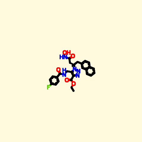 CCOC(=O)c1nnn([C@@H](CC(=O)NO)Cc2ccc3ccccc3c2)c1CNC(=O)c1ccc(F)cc1